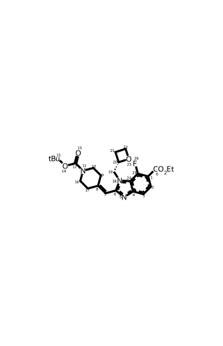 CCOC(=O)c1ccc2nc(C=C3CCN(C(=O)OC(C)(C)C)CC3)n(C[C@@H]3CCO3)c2c1F